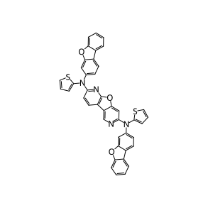 c1csc(N(c2ccc3c(c2)oc2ccccc23)c2cc3oc4nc(N(c5ccc6c(c5)oc5ccccc56)c5cccs5)ccc4c3cn2)c1